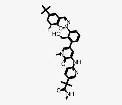 CNC(=O)C(C)(C)c1ccc(Nc2cc(-c3cccc(N4N=CC5=C(O4)[C@@H](F)CC(C(C)(C)C)=C5)c3CO)cn(C)c2=O)nc1